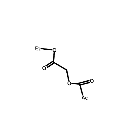 CCOC(=O)COC(=O)C(C)=O